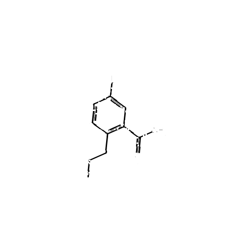 CCCc1ccc(F)cc1C(N)=O